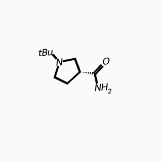 CC(C)(C)N1CC[C@@H](C(N)=O)C1